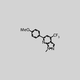 COc1ccc(-c2cc(C(F)(F)F)c3cnn(C)c3n2)cc1